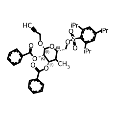 C#CCO[C@@H]1O[C@H](COS(=O)(=O)c2c(C(C)C)cc(C(C)C)cc2C(C)C)C(C)[C@H](OC(=O)c2ccccc2)[C@@H]1OC(=O)c1ccccc1